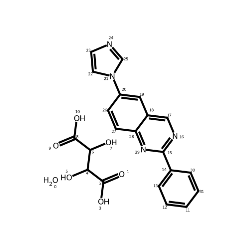 O.O=C(O)C(O)C(O)C(=O)O.c1ccc(-c2ncc3cc(-n4ccnc4)ccc3n2)cc1